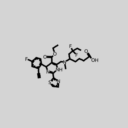 C#Cc1cc(F)ccc1C1N=C(c2nccs2)NC(CN(C)C(CCCC(=O)O)CC(F)(F)CC)=C1C(=O)OCC